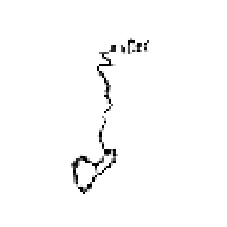 CCCCCCCCCCCCCCCCCCCc1ccc2cccccc1-2